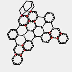 c1ccc(-c2ccc3c(c2)N(c2c(-c4ccccc4)cccc2-c2ccccc2)c2cc(N4C5CC6CC(C5)CC4C6)cc4c2B3c2ccc(-c3ccccc3)cc2N4c2c(-c3ccccc3)cccc2-c2ccccc2)cc1